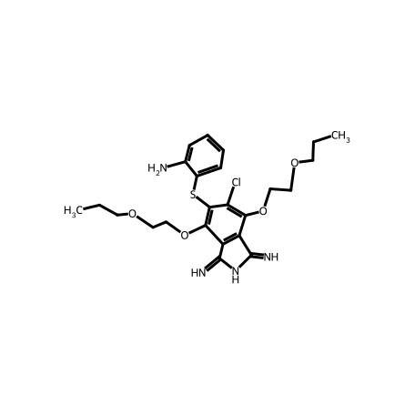 CCCOCCOc1c(Cl)c(Sc2ccccc2N)c(OCCOCCC)c2c1C(=N)NC2=N